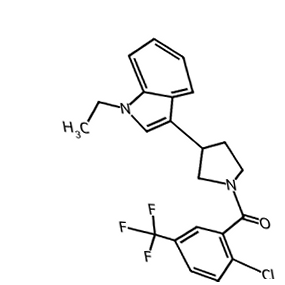 CCn1cc(C2CCN(C(=O)c3cc(C(F)(F)F)ccc3Cl)C2)c2ccccc21